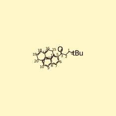 CC(C)(C)CCC(=O)c1ccc2ccc3c4c2c1CC=C4C=CC3